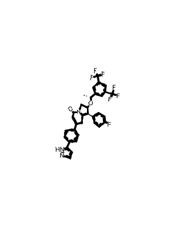 C[C@@H](OC1CN2C(=O)C=C(c3ccc(-c4ccn[nH]4)cc3)CC2[C@@H]1c1ccc(F)cc1)c1cc(C(F)(F)F)cc(C(F)(F)F)c1